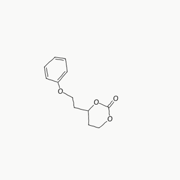 O=C1OCCC(CCOc2ccccc2)O1